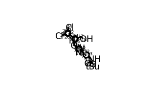 CC(C)(C)OC(=O)NC1CCN(c2ncc(Oc3cc(CO)cc(-c4cc(Cl)cc(Cl)c4)n3)cn2)CC1